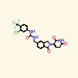 O=C1CC=C(N2Cc3cc(CNC(=O)Nc4ccc(C(F)(F)F)c(Cl)c4)ccc3C2=O)C(=O)N1